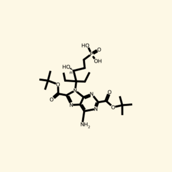 CCC(CC)([C@H](O)CCP(=O)(O)O)n1c(C(=O)OC(C)(C)C)nc2c(N)nc(C(=O)OC(C)(C)C)nc21